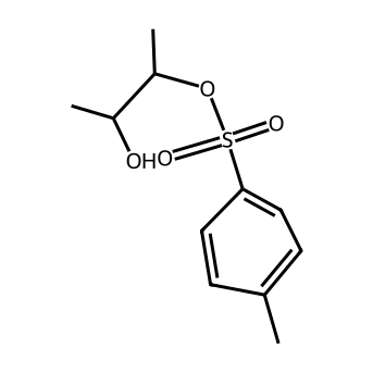 Cc1ccc(S(=O)(=O)OC(C)C(C)O)cc1